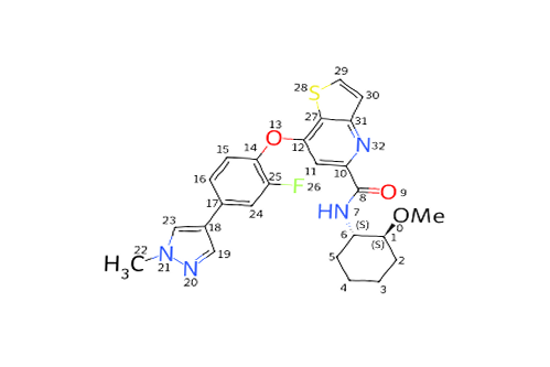 CO[C@H]1CCCC[C@@H]1NC(=O)c1cc(Oc2ccc(-c3cnn(C)c3)cc2F)c2sccc2n1